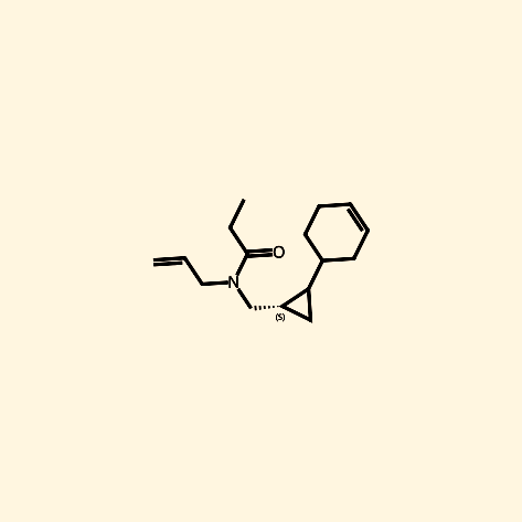 C=CCN(C[C@H]1CC1C1CC=CCC1)C(=O)CC